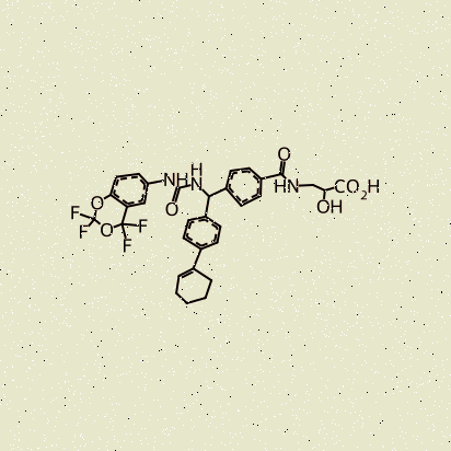 O=C(Nc1ccc2c(c1)C(F)(F)OC(F)(F)O2)NC(c1ccc(C(=O)NCC(O)C(=O)O)cc1)c1ccc(C2=CCCCC2)cc1